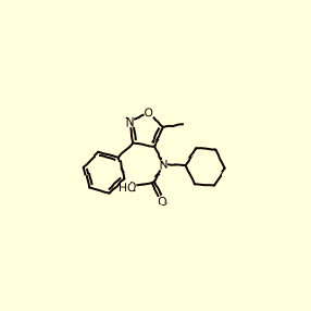 Cc1onc(-c2ccccc2)c1N(C(=O)O)C1CCCCC1